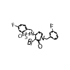 O=c1c(Br)c(NCc2ccc(F)cc2C(F)(F)F)ccn1Cc1cccc(F)c1